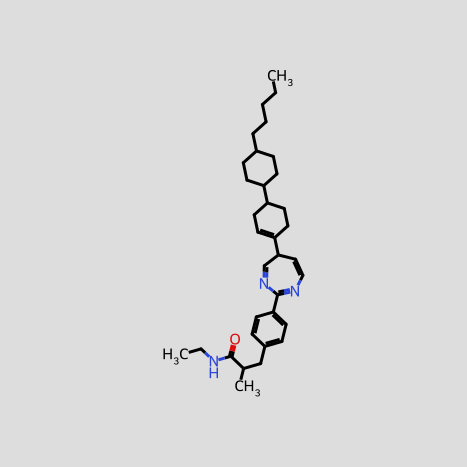 CCCCCC1CCC(C2CC=C(C3C=CN=C(c4ccc(CC(C)C(=O)NCC)cc4)N=C3)CC2)CC1